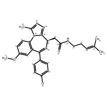 COc1ccc2c(c1)C(c1ccc(Cl)cc1)=N[C@H](CC(=O)NCCC=C(C)C)c1nnc(C)n1-2